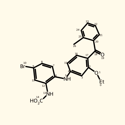 CCOc1cc(Nc2ccc(Br)cc2NC(=O)O)ccc1C(=O)c1ccccc1C